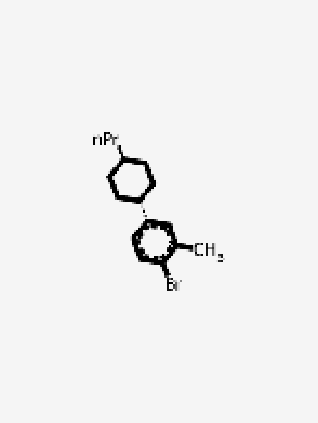 CCC[C@H]1CC[C@H](c2ccc(Br)c(C)c2)CC1